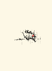 C=C1N=C(N)C=CN1[C@@H]1OC(COP(=O)(O)OC2(C(=O)O)CC(O)C(NC(=O)CNC(=O)[C@H](CCCCNC(=O)OCCOC)NC(=O)OCCOC)C([C@H](O)[C@H](O)CO)O2)[C@@H](O)[C@H]1O